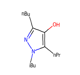 CCCCc1nn(C(C)CC)c(CCC)c1O